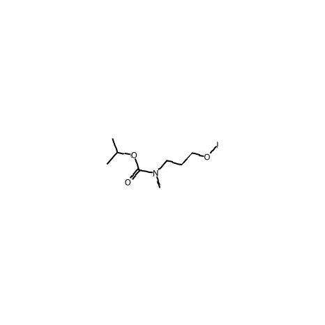 CC(C)OC(=O)N(C)CCCOI